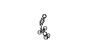 CC1(C)OC2CC3C(=O)N(CCCN4CCN(c5ccccc5)CC4)C(=O)C3CC2O1